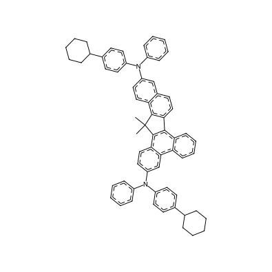 CC1(C)c2c(ccc3cc(N(c4ccccc4)c4ccc(C5CCCCC5)cc4)ccc23)-c2c1c1ccc(N(c3ccccc3)c3ccc(C4CCCCC4)cc3)cc1c1ccccc21